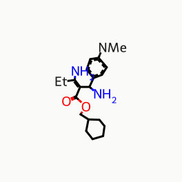 CC/C(N)=C(\C(=O)OCC1CCCCC1)C(N)c1ccc(NC)cc1